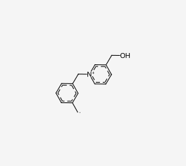 [CH2]c1cccc(C[n+]2cccc(CO)c2)c1